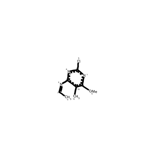 C/C=N\c1nc(Cl)nc(OC)c1C